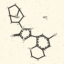 Cl.O=c1oc(-c2cc(Cl)cc3c2OCCC3)nn1C1CC2CCC(C1)N2